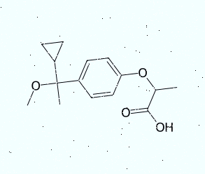 COC(C)(c1ccc(OC(C)C(=O)O)cc1)C1CC1